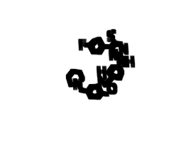 CSc1cnc(Nc2ccc(C(=O)Nc3cc(CN4CCCCC4)ccc3C)cc2)nc1-c1ccc(F)cc1